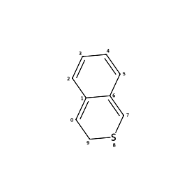 C1=c2ccccc2=CSC1